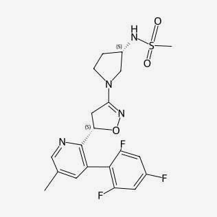 Cc1cnc([C@@H]2CC(N3CC[C@H](NS(C)(=O)=O)C3)=NO2)c(-c2c(F)cc(F)cc2F)c1